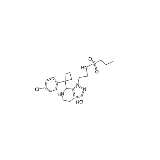 CCCS(=O)(=O)NCCn1ncc2c1C(C1(c3ccc(Cl)cc3)CCC1)NCC2.Cl